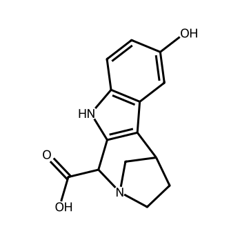 O=C(O)C1c2[nH]c3ccc(O)cc3c2C2CCN1C2